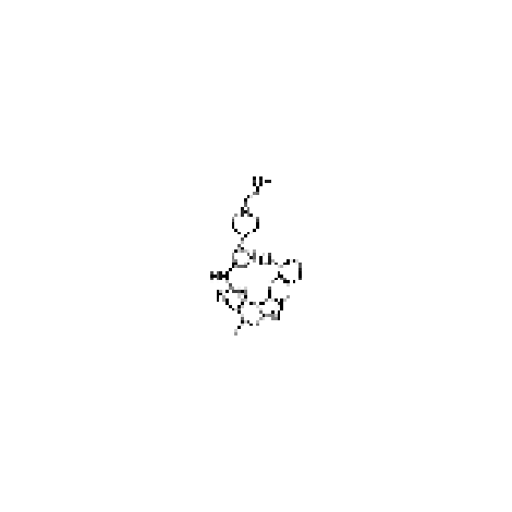 CC1Cc2nn(C)c(Cc3ccccc3Cl)c2-c2nc(Nc3cnn(C4CCN(CCO)CC4)c3)ncc21